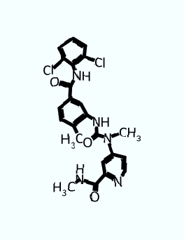 CNC(=O)c1cc(N(C)C(=O)Nc2cc(C(=O)Nc3c(Cl)cccc3Cl)ccc2C)ccn1